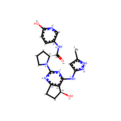 CC(C)c1cc(Nc2nc(N3CCC[C@@H]3C(=O)Nc3ccc(O)nc3)nc3c2[C@@H](O)CC3)n[nH]1